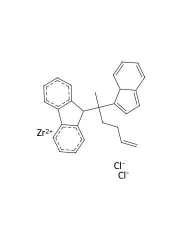 C=CCCC(C)(C1=CC=C2C=CC=CC21)C1c2ccccc2-c2ccccc21.[Cl-].[Cl-].[Zr+2]